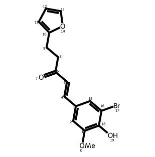 COc1cc(/C=C/C(=O)CCc2ccco2)cc(Br)c1O